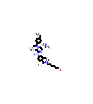 C=C(NCCCCCC=O)c1ccc(NC2=NC=CN(/C(=C\C)c3ccc(CC)cc3SNC)C2=C)cc1CC